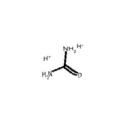 NC(N)=O.[H+].[H+]